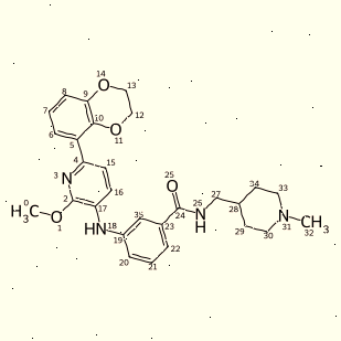 COc1nc(-c2cccc3c2OCCO3)ccc1Nc1cccc(C(=O)NCC2CCN(C)CC2)c1